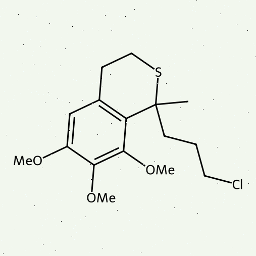 COc1cc2c(c(OC)c1OC)C(C)(CCCCl)SCC2